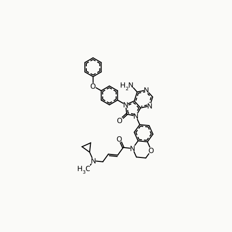 CN(CC=CC(=O)N1CCOc2ccc(-n3c(=O)n(-c4ccc(Oc5ccccc5)cc4)c4c(N)ncnc43)cc21)C1CC1